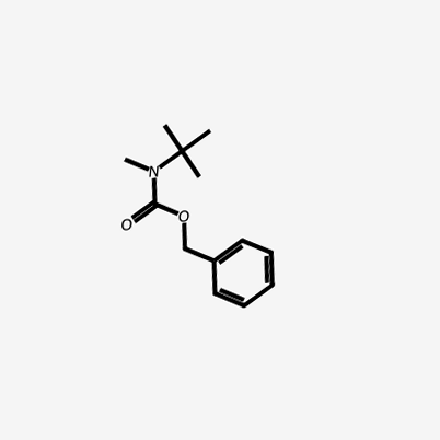 CN(C(=O)OCc1ccccc1)C(C)(C)C